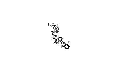 Cc1nc2c(OCc3c(F)cccc3F)cccn2c1C(=O)NCC(C)NC(=O)OC(=O)C(F)(F)F